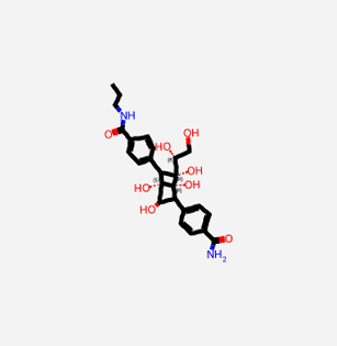 CCCNC(=O)c1ccc(C2[C@]3(O)C(O)C(c4ccc(C(N)=O)cc4)[C@]3(O)[C@]2(O)[C@H](O)CO)cc1